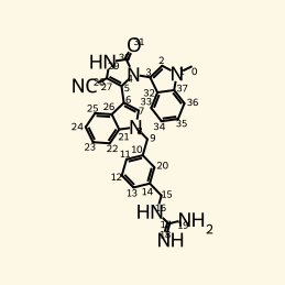 Cn1cc(-n2c(-c3cn(Cc4cccc(CNC(=N)N)c4)c4ccccc34)c(C#N)[nH]c2=O)c2ccccc21